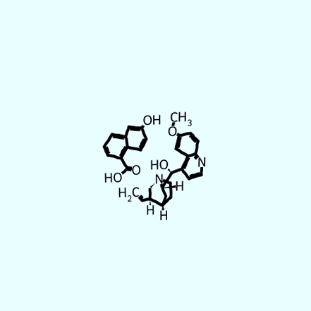 C=C[C@H]1C[N@]2CC[C@H]1C[C@H]2[C@H](O)c1ccnc2ccc(OC)cc12.O=C(O)c1cccc2cc(O)ccc12